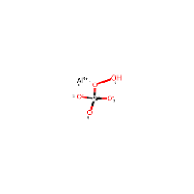 [Al+3].[O-][Si]([O-])([O-])OO